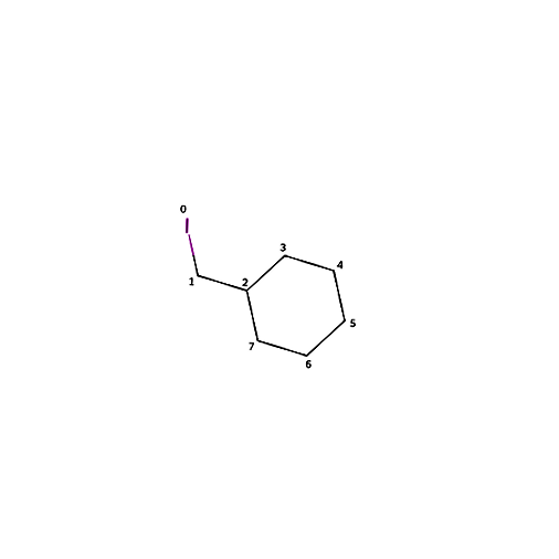 ICC1CCCCC1